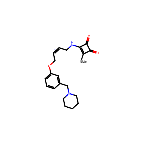 CNc1c(NC/C=C\COc2cccc(CN3CCCCC3)c2)c(=O)c1=O